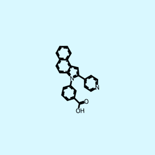 O=C(O)c1cccc(-n2c(-c3ccncc3)cc3c4ccccc4ccc32)c1